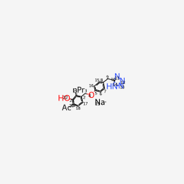 CCCc1c(COc2ccc(Cc3nnn[nH]3)cc2)ccc(C(C)=O)c1O.[Na]